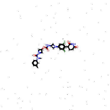 Cc1cccc(N(C)C(=O)N2CC(OC(=O)NC3CN(c4cc(F)c(C5CCC(=O)NC5=O)c(F)c4)C3)C2)c1